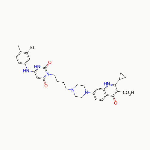 CCc1cc(Nc2cc(=O)n(CCCCN3CCN(c4ccc5c(=O)c(C(=O)O)c(C6CC6)[nH]c5c4)CC3)c(=O)[nH]2)ccc1C